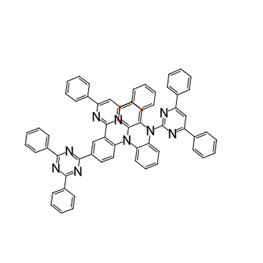 c1ccc(-c2cc(-c3ccccc3)nc(-c3cc(-c4nc(-c5ccccc5)nc(-c5ccccc5)n4)ccc3N3c4ccccc4N(c4nc(-c5ccccc5)cc(-c5ccccc5)n4)c4ccccc43)n2)cc1